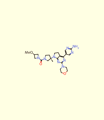 COC1CN(C(=O)N2CC[C@](C)(N3CCc4c(-c5cnc(N)nc5)nc(N5CCOCC5)nc43)C2)C1